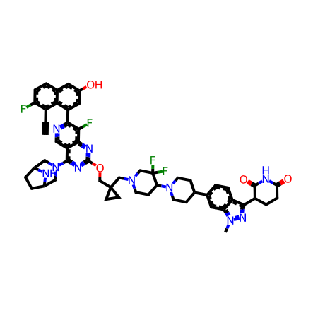 C#Cc1c(F)ccc2cc(O)cc(-c3ncc4c(N5CC6CCC(C5)N6)nc(OCC5(CN6CCC(N7CCC(c8ccc9c(C%10CCC(=O)NC%10=O)nn(C)c9c8)CC7)C(F)(F)C6)CC5)nc4c3F)c12